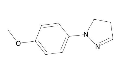 COc1ccc(N2CCC=N2)cc1